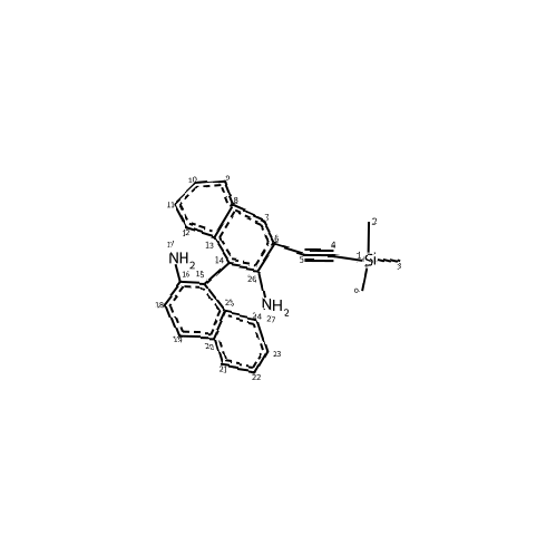 C[Si](C)(C)C#Cc1cc2ccccc2c(-c2c(N)ccc3ccccc23)c1N